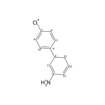 NC1=CC(c2ccc(Cl)cc2)CC=C1